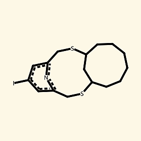 Ic1cc2nc(c1)CSC1CCCCCCC(C1)SC2